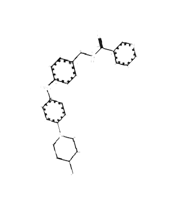 CC1CCN(c2ccc(Nc3ccc(CNC(=O)c4cccnc4)cc3)cc2)CC1